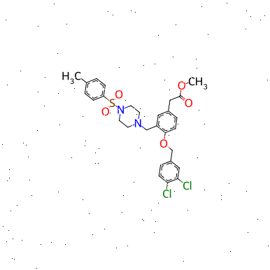 COC(=O)Cc1ccc(OCc2ccc(Cl)c(Cl)c2)c(CN2CCN(S(=O)(=O)c3ccc(C)cc3)CC2)c1